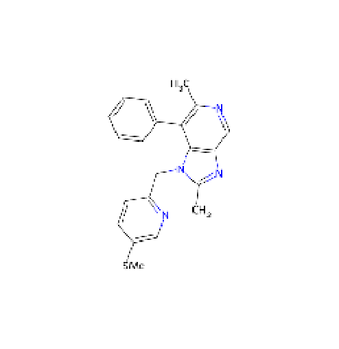 CSc1ccc(Cn2c(C)nc3cnc(C)c(-c4ccccc4)c32)nc1